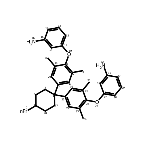 CCCC1CCC(c2cc(C)c(Oc3cccc(N)c3)c(C)c2)(c2cc(C)c(Oc3cccc(N)c3)c(C)c2)CC1